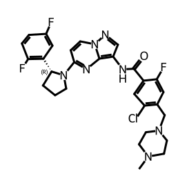 CN1CCN(Cc2cc(F)c(C(=O)Nc3cnn4ccc(N5CCC[C@@H]5c5cc(F)ccc5F)nc34)cc2Cl)CC1